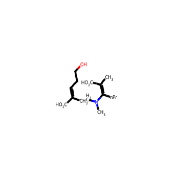 CC(=CCCO)C(=O)O.CCCC(=C(C)C(=O)O)N(C)C